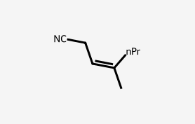 CCC/C(C)=C\CC#N